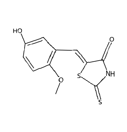 COc1ccc(O)cc1/C=C1\SC(=S)NC1=O